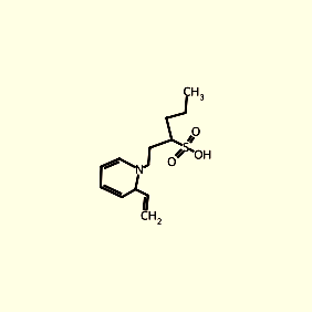 C=CC1C=CC=CN1CCC(CCC)S(=O)(=O)O